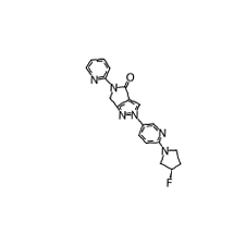 O=C1c2cn(-c3ccc(N4CC[C@@H](F)C4)nc3)nc2CN1c1ccccn1